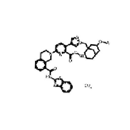 C.CC(C)OC1CC2CCCC(Cn3cc(-c4ccc(N5CCc6cccc(C(=O)Nc7nc8ccccc8s7)c6C5)nc4C(=O)OC(C)(C)C)cn3)(C2)C1